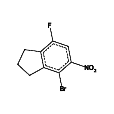 O=[N+]([O-])c1cc(F)c2c(c1Br)CCC2